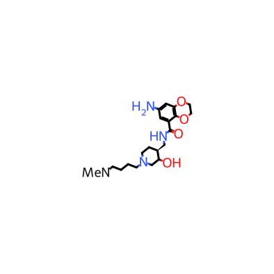 CNCCCCN1CC[C@@H](CNC(=O)c2cc(N)cc3c2OCCO3)C(O)C1